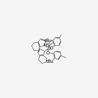 Cc1ccc([O][Zr]([O]c2ccc(C)cc2C(C)(C)C)([CH]2C=CC3=C2CCCC3)([CH]2C=CC3=C2CCCC3)[SiH](C)C)c(C(C)(C)C)c1